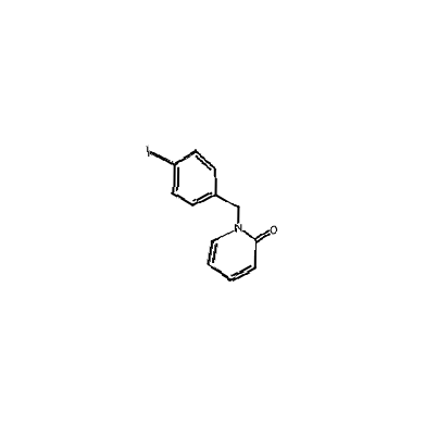 O=c1ccccn1Cc1ccc(I)cc1